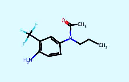 [CH2]CCN(C(C)=O)c1ccc(N)c(C(F)(F)F)c1